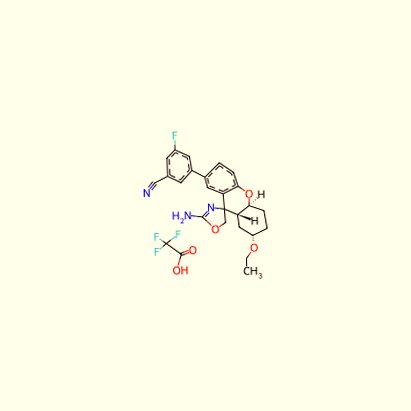 CCO[C@H]1CC[C@@H]2Oc3ccc(-c4cc(F)cc(C#N)c4)cc3C3(COC(N)=N3)[C@H]2C1.O=C(O)C(F)(F)F